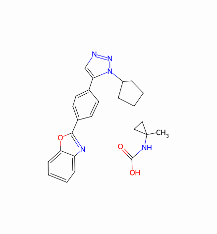 CC1(NC(=O)O)CC1.c1ccc2oc(-c3ccc(-c4cnnn4C4CCCC4)cc3)nc2c1